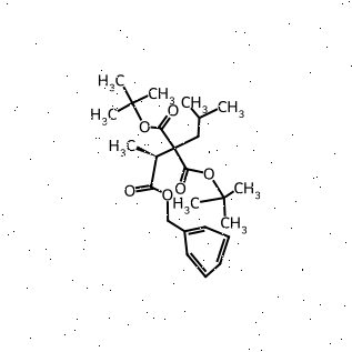 CC(C)CC(C(=O)OC(C)(C)C)(C(=O)OC(C)(C)C)[C@H](C)C(=O)OCc1ccccc1